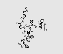 C=CSOOCC(=C)ON1CN(C(=O)CCS(=O)(=O)C=C)CN(C(=O)CCS(=O)(=O)C=C)C1